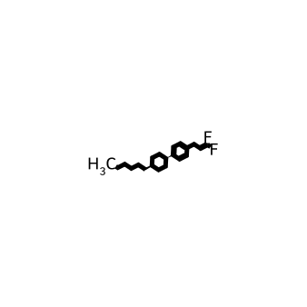 CCCCCC[C@H]1CC[C@H](c2ccc(CC=C(F)F)cc2)CC1